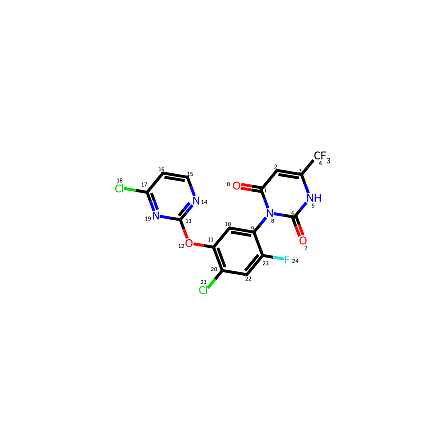 O=c1cc(C(F)(F)F)[nH]c(=O)n1-c1cc(Oc2nccc(Cl)n2)c(Cl)cc1F